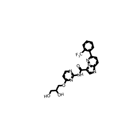 O=C(Nc1nccc(OCC(O)CO)n1)c1cnc2ccc(-c3ccccc3C(F)(F)F)nn12